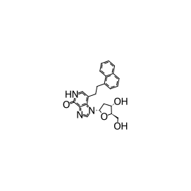 O=c1[nH]cc(CCc2cccc3ccccc23)c2c1ncn2[C@@H]1C[C@H](O)[C@@H](CO)O1